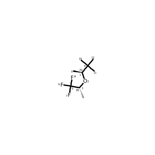 C[C@H](O[C@H](C)C(F)(F)F)C(C)(C)C